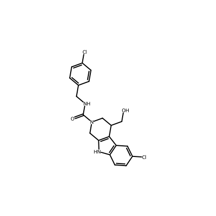 O=C(NCc1ccc(Cl)cc1)N1Cc2[nH]c3ccc(Cl)cc3c2C(CO)C1